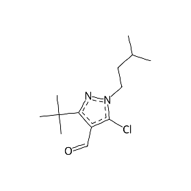 CC(C)CCn1nc(C(C)(C)C)c(C=O)c1Cl